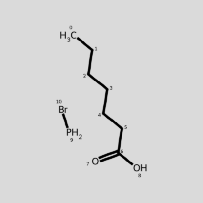 CCCCCCC(=O)O.PBr